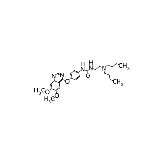 CCCCN(CCCC)CCNC(=O)Nc1ccc(Oc2ncnc3cc(OC)c(OC)cc23)cc1